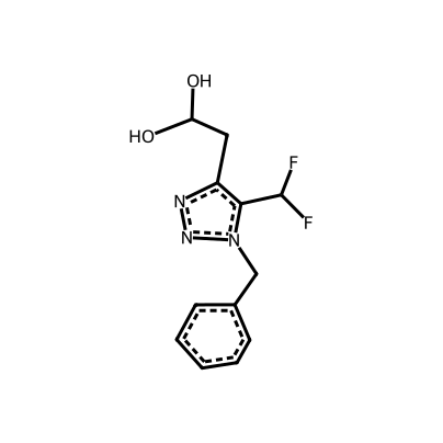 OC(O)Cc1nnn(Cc2ccccc2)c1C(F)F